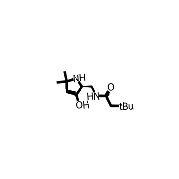 CC(C)(C)CC(=O)NC[C@@H]1NC(C)(C)C=C1O